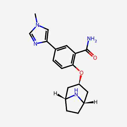 Cn1cnc(-c2ccc(O[C@@H]3C[C@H]4CC[C@@H](C3)N4)c(C(N)=O)c2)c1